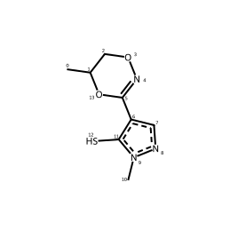 CC1CON=C(c2cnn(C)c2S)O1